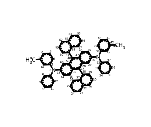 Cc1cccc(N(c2ccccc2)c2ccc3c(-c4cccc5ccccc45)c4cc(N(c5ccccc5)c5cccc(C)c5)ccc4c(-c4cccc5ccccc45)c3c2)c1